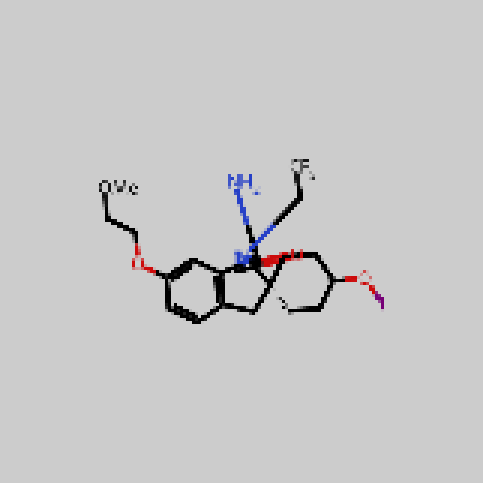 COCCOc1ccc2c(c1)C1(N=C(N)N(CC(F)(F)F)C1=O)[C@]1(CC[C@H](OI)CC1)C2